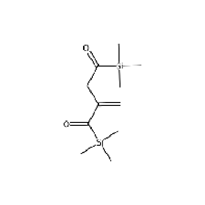 C=C(CC(=O)[Si](C)(C)C)C(=O)[Si](C)(C)C